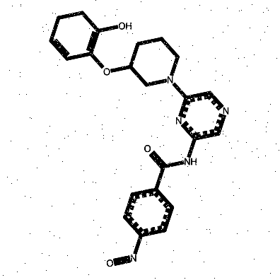 O=Nc1ccc(C(=O)Nc2cncc(N3CCCC(OC4=C(O)CCC=C4)C3)n2)cc1